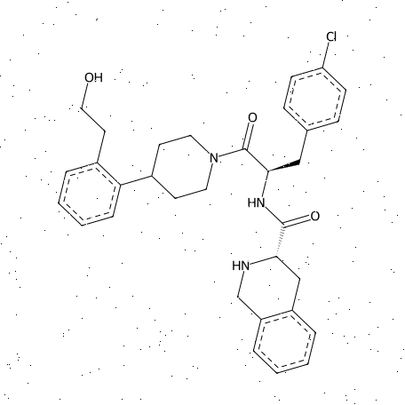 O=C(N[C@H](Cc1ccc(Cl)cc1)C(=O)N1CCC(c2ccccc2CCO)CC1)[C@@H]1Cc2ccccc2CN1